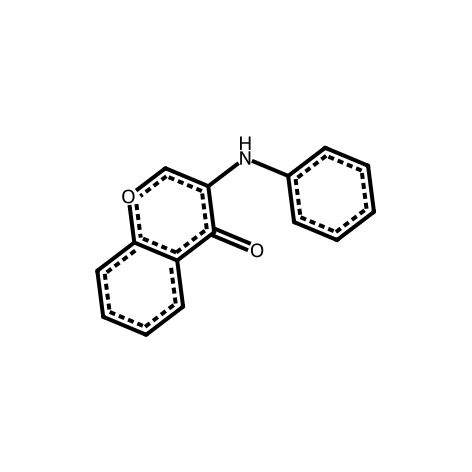 O=c1c(Nc2ccccc2)coc2ccccc12